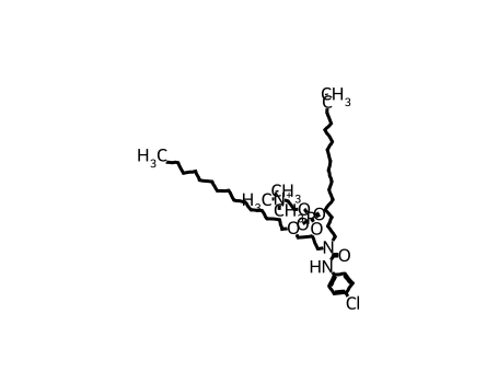 CCCCCCCCCCCCCCCCOCC(CN(CCCCCCCCCCCCCCCC)C(=O)Nc1ccc(Cl)cc1)OP(=O)([O-])OCC[N+](C)(C)C